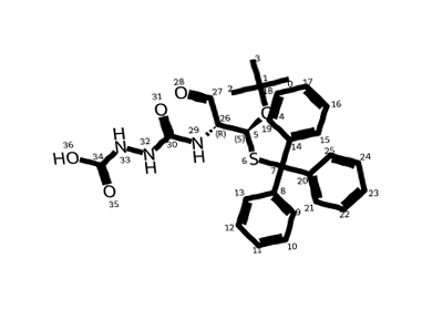 CC(C)(C)O[C@@H](SC(c1ccccc1)(c1ccccc1)c1ccccc1)[C@@H](C=O)NC(=O)NNC(=O)O